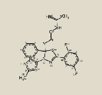 CC(=N)NOCCC1(c2ccccc2)SC(c2cc(F)ccc2F)=NN1c1nnc(C)s1